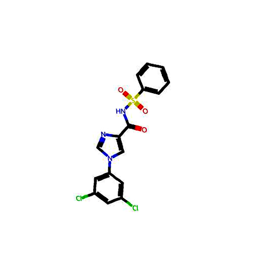 O=C(NS(=O)(=O)c1ccccc1)c1cn(-c2cc(Cl)cc(Cl)c2)cn1